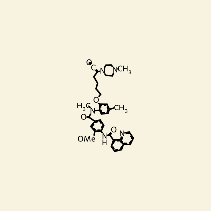 COc1cc(C(=O)N(C)c2ccc(C)cc2OCCCCC(=C=O)N2CCN(C)CC2)ccc1NC(=O)c1cccc2cccnc12